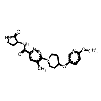 COc1ccc(OC2CCN(c3nnc(C(=O)NC4CCNC4=O)cc3C)CC2)cn1